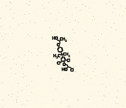 CC(CO)COc1ccc(C(C)(C)c2cc(Cl)c(OCC(O)CCl)c(Cl)c2)cc1